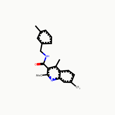 COc1nc2cc(C(F)(F)F)ccc2c(C)c1C(=O)NCc1cccc(C)c1